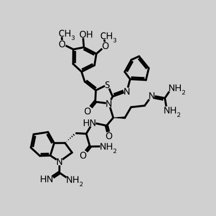 COc1cc(/C=C2\SC(=Nc3ccccc3)N([C@@H](CCCN=C(N)N)C(=O)NC(C[C@@H]3CN(C(=N)N)c4ccccc43)C(N)=O)C2=O)cc(OC)c1O